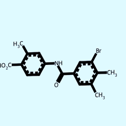 Cc1cc(NC(=O)c2cc(C)c(C)c(Br)c2)ccc1C(=O)O